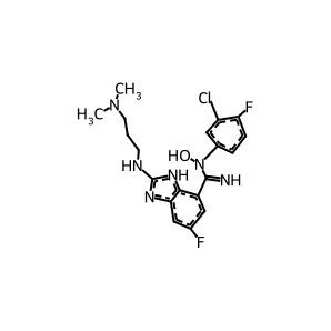 CN(C)CCCNc1nc2cc(F)cc(C(=N)N(O)c3ccc(F)c(Cl)c3)c2[nH]1